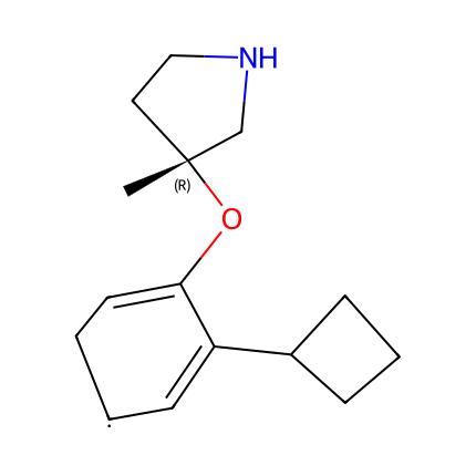 C[C@@]1(OC2=CC[CH]C=C2C2CCC2)CCNC1